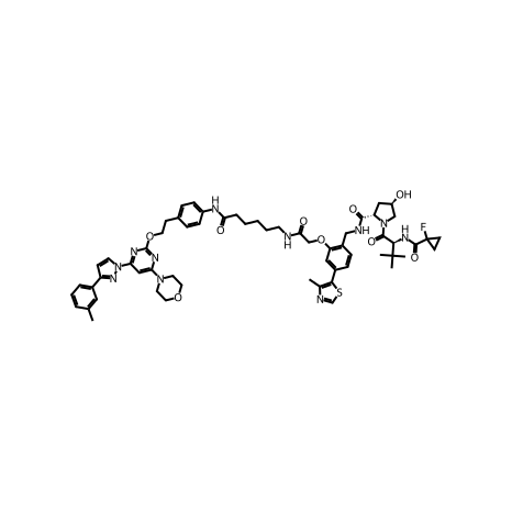 Cc1cccc(-c2ccn(-c3cc(N4CCOCC4)nc(OCCc4ccc(NC(=O)CCCCCNC(=O)COc5cc(-c6scnc6C)ccc5CNC(=O)[C@@H]5C[C@@H](O)CN5C(=O)[C@@H](NC(=O)C5(F)CC5)C(C)(C)C)cc4)n3)n2)c1